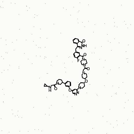 O=C(CN1CCC(OC2CCN(c3cc(Oc4cccc(C5CCCN(C(=O)CNC6CC6)C5)c4)cnn3)CC2)CC1)N1CCN(C(=O)c2cc(Cc3n[nH]c(=O)c4ccccc34)ccc2F)CC1